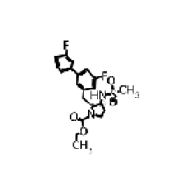 CCOC(=O)N1CC[C@H](NS(C)(=O)=O)[C@@H]1Cc1cc(F)cc(-c2cccc(F)c2)c1